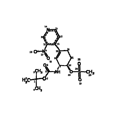 CC(C)(C)OC(=O)N[C@@H]1C=C(c2ccncc2[N+](=O)[O-])CC[C@H]1OS(C)(=O)=O